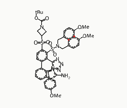 COc1ccc(CN(Cc2ccc(OC)cc2)S(=O)(=O)c2c(S(=O)(=O)C3CN(C(=O)OC(C)(C)C)C3)ccc(-c3cccc4sc(N)nc34)c2-c2nnnn2Cc2ccc(OC)cc2)cc1